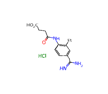 CCc1cc(C(=N)N)ccc1NC(=O)CCC(=O)O.Cl